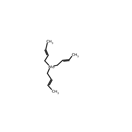 CC=C[CH2][Mo]([CH2]C=CC)[CH2]C=CC